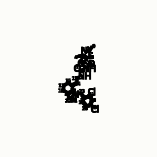 Cc1nc(C)c(S(=O)(=O)NC(=O)NC/C=C2\CCCc3cnn(Cc4ccc(Cl)cc4Cl)c32)s1